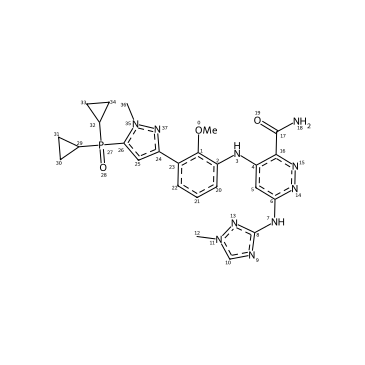 COc1c(Nc2cc(Nc3ncn(C)n3)nnc2C(N)=O)cccc1-c1cc(P(=O)(C2CC2)C2CC2)n(C)n1